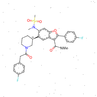 CNC(=O)c1c(-c2ccc(F)cc2)oc2cc(N(C)S(C)(=O)=O)c([C@@H]3CCCN(C(=O)Cc4ccc(F)cc4)C3)cc12